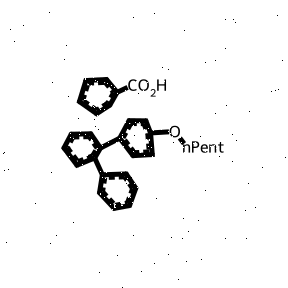 CCCCCOc1ccc(-c2ccccc2-c2ccccc2)cc1.O=C(O)c1ccccc1